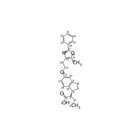 CCC(C(=O)O)[C@@H]1CCc2cc(OCCc3nc(-c4ccccc4)oc3C)ccc21